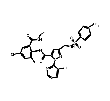 Cc1cc(Cl)cc(C(=O)NC(C)C)c1NC(=O)c1cc(CNS(=O)(=O)c2ccc(C(F)(F)F)cc2)nn1-c1ncccc1Cl